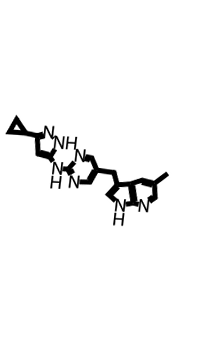 Cc1cnc2[nH]cc(Cc3cnc(Nc4cc(C5CC5)n[nH]4)nc3)c2c1